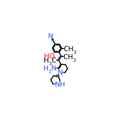 C/C(C1=C(N)N([C@@H]2CCCNC2)CCC1)=C(/C)c1c(C)cc(C#N)cc1O